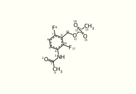 CC(=O)Nc1ccc(F)c(COS(C)(=O)=O)c1F